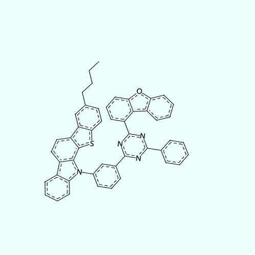 CCCCc1ccc2sc3c(ccc4c5ccccc5n(-c5cccc(-c6nc(-c7ccccc7)nc(-c7cccc8oc9ccccc9c78)n6)c5)c43)c2c1